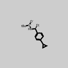 CC[C@H](N[S+]([O-])C(C)(C)C)c1ccc(C2CC2)cc1